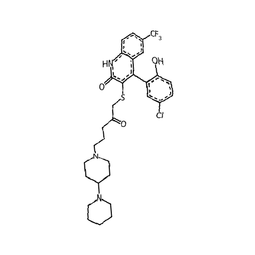 O=C(CCCN1CCC(N2CCCCC2)CC1)CSc1c(-c2cc(Cl)ccc2O)c2cc(C(F)(F)F)ccc2[nH]c1=O